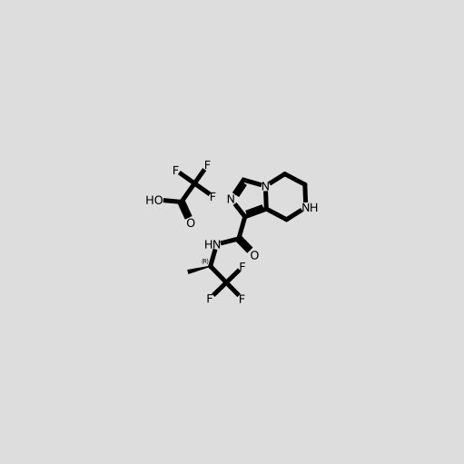 C[C@@H](NC(=O)c1ncn2c1CNCC2)C(F)(F)F.O=C(O)C(F)(F)F